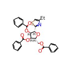 CCc1csc([C@@H]2O[C@H](COC(=O)c3ccccc3)[C@@H](OC(=O)c3ccccc3)[C@H]2OC(=O)c2ccccc2)n1